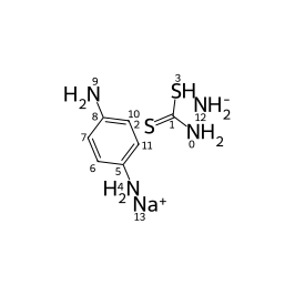 NC(=S)S.Nc1ccc(N)cc1.[NH2-].[Na+]